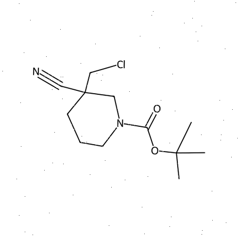 CC(C)(C)OC(=O)N1CCCC(C#N)(CCl)C1